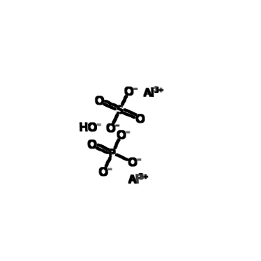 O=P([O-])([O-])[O-].O=S(=O)([O-])[O-].[Al+3].[Al+3].[OH-]